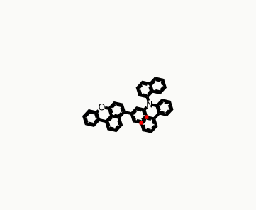 c1ccc(-c2ccccc2N(c2cccc(-c3ccc4c5c(cccc35)-c3ccccc3O4)c2)c2cccc3ccccc23)cc1